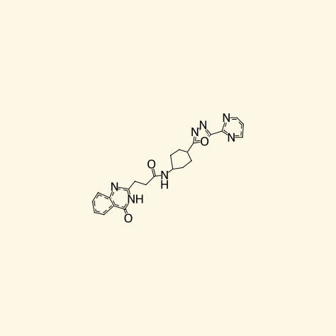 O=C(CCc1nc2ccccc2c(=O)[nH]1)NC1CCC(c2nnc(-c3ncccn3)o2)CC1